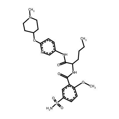 CCCCC(NC(=O)c1cc(S(N)(=O)=O)ccc1OC)C(=O)Nc1ccc(OC2CCN(C)CC2)nc1